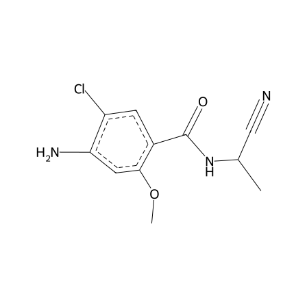 COc1cc(N)c(Cl)cc1C(=O)NC(C)C#N